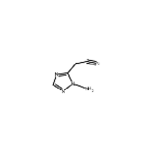 N#CCc1ncnn1N